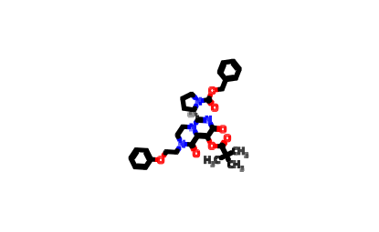 CC(C)(C)C(=O)Oc1c2n(c([C@@H]3CCCN3C(=O)OCc3ccccc3)nc1=O)CCN(CCOc1ccccc1)C2=O